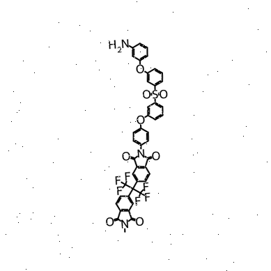 CN1C(=O)c2ccc(C(c3ccc4c(c3)C(=O)N(c3ccc(Oc5cccc(S(=O)(=O)c6cccc(Oc7cccc(N)c7)c6)c5)cc3)C4=O)(C(F)(F)F)C(F)(F)F)cc2C1=O